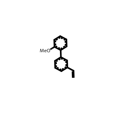 C=Cc1cccc(-c2ccccc2OC)c1